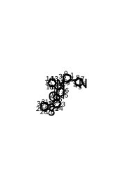 c1cc(-c2ccncc2)cc(-n2c3ccccc3c3c4oc5c(ccc6sc7ccccc7c65)c4ccc32)c1